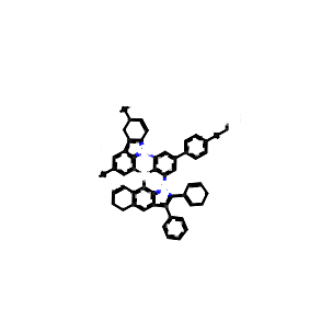 CCC(C)(C)c1ccc(-c2cc3c4c(c2)-n2c(C5=CCCC=C5)c(-c5ccccc5)c5cc6c(c(c52)B4c2cc(C(C)(C)C)cc4c5c(n-3c24)C=CC(C(C)(C)C)C5)C=CCC6)cc1